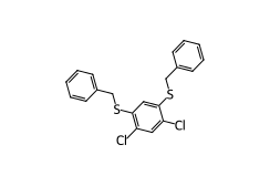 Clc1cc(Cl)c(SCc2ccccc2)cc1SCc1ccccc1